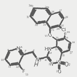 O=S1(=O)N=C(NCc2ncccc2F)Nc2c1ccc(F)c2Oc1c(Cl)ccc2ccccc12